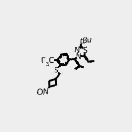 C/C=C1\SC(C(C)(C)C)=NN1C(=C(C)C)c1ccc(C(F)(F)F)c(SCC2CC(N=O)C2)c1